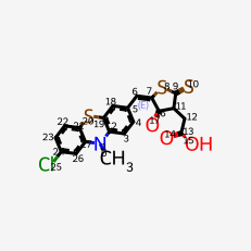 CN1c2ccc(/C=C3/SC(=S)C(CC(=O)O)C3=O)cc2Sc2ccc(Cl)cc21